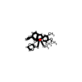 CO[C@H]1[C@H](C)C[C@@]2(Cc3ccc(C#N)cc3[C@]23N=C(N)N(C[C@@H]2COCCO2)C3=O)C[C@@H]1C